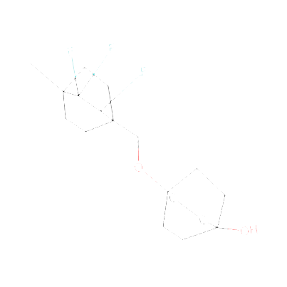 CC12CCC(COC34CCC(O)(CC3)CC4)(CC1)C(F)C2(F)F